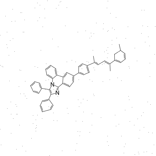 C/C(=C\C=C(/C)c1ccc(-c2ccc3c(c2)c2ccccc2n2c(-c4ccccc4)c(-c4ccccc4)nc32)cc1)C1=CC=CC(C)C1